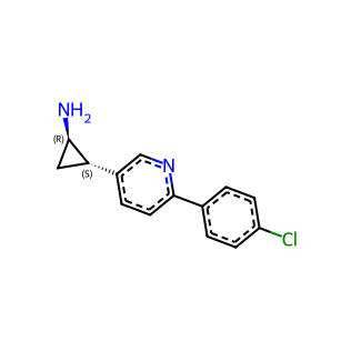 N[C@@H]1C[C@H]1c1ccc(-c2ccc(Cl)cc2)nc1